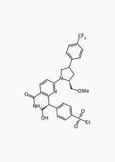 CCS(=O)(=O)c1ccc([C@@H](CO)c2nc(N3CC(c4ccc(C(F)(F)F)cc4)C[C@H]3COC)ccc2C(N)=O)cc1